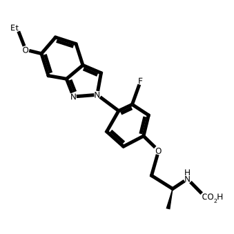 CCOc1ccc2cn(-c3ccc(OC[C@H](C)NC(=O)O)cc3F)nc2c1